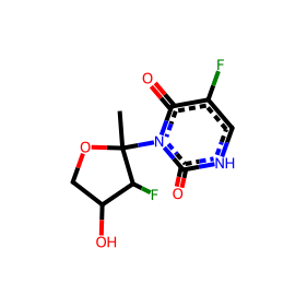 CC1(n2c(=O)[nH]cc(F)c2=O)OCC(O)C1F